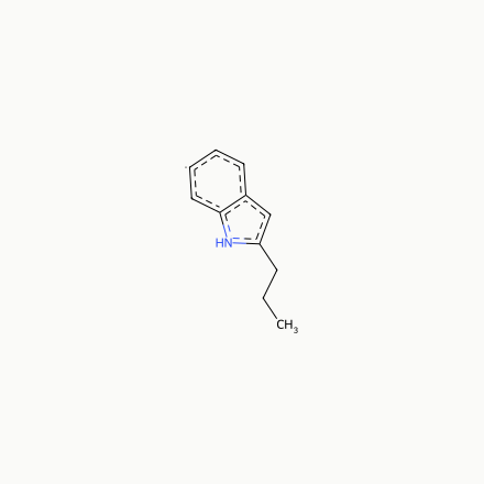 CCCc1cc2cc[c]cc2[nH]1